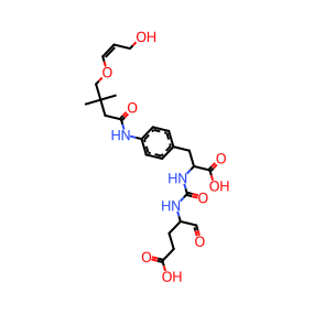 CC(C)(CO/C=C\CO)CC(=O)Nc1ccc(CC(NC(=O)NC(C=O)CCC(=O)O)C(=O)O)cc1